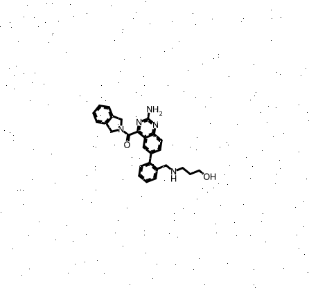 Nc1nc(C(=O)N2Cc3ccccc3C2)c2cc(-c3ccccc3CNCCCO)ccc2n1